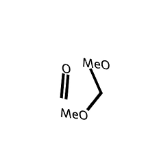 C=O.COCOC